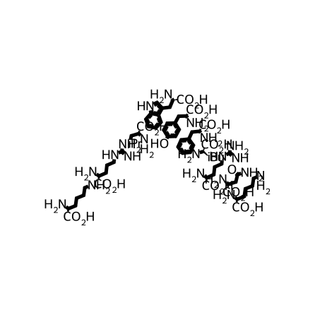 CC(C)C[C@H](N)C(=O)O.CC[C@H](C)[C@H](N)C(=O)O.N=C(N)NCCC[C@H](N)C(=O)O.N=C(N)NCCC[C@H](N)C(=O)O.NC(=O)C[C@H](N)C(=O)O.NCCCC[C@H](N)C(=O)O.NCCCC[C@H](N)C(=O)O.N[C@@H](Cc1c[nH]c2ccccc12)C(=O)O.N[C@@H](Cc1ccc(O)cc1)C(=O)O.N[C@@H](Cc1ccccc1)C(=O)O